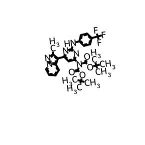 Cc1nn2ccccc2c1-c1cc(N(C(=O)OC(C)(C)C)C(=O)OC(C)(C)C)nc(Nc2ccc(C(F)(F)F)cc2)n1